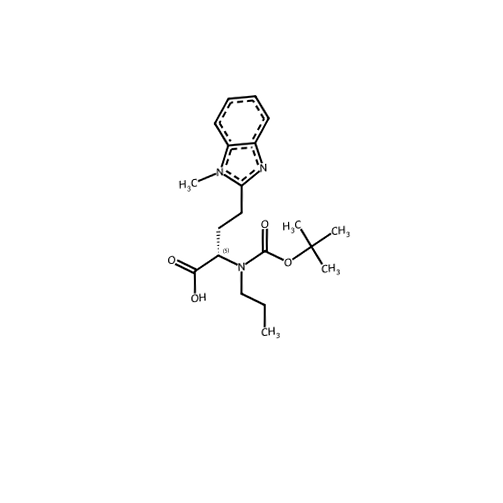 CCCN(C(=O)OC(C)(C)C)[C@@H](CCc1nc2ccccc2n1C)C(=O)O